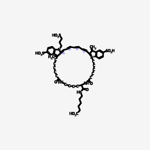 C=C1C2=[N+](CCCCCC(=O)NC(C(=O)NCCCCCC(=O)O)CCCCNC(=O)CCCCCC3(C)/C(=C/C=C/C=C/C=C/2)N(CCCS(=O)(=O)O)c2ccc(S(=O)(=O)O)cc23)c2ccc(S(=O)(=O)O)cc21